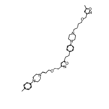 Cc1ccc(N2CCN(CCCOCCc3cc(CCc4ccc(N5CCN(CCCCOCc6cc(C)on6)CC5)cc4)on3)CC2)cc1